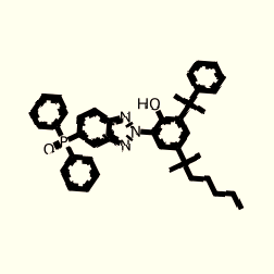 CCCCCC(C)(C)c1cc(-n2nc3ccc(P(=O)(c4ccccc4)c4ccccc4)cc3n2)c(O)c(C(C)(C)c2ccccc2)c1